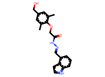 Cc1cc(CO)cc(C)c1OCC(=O)NN=Cc1cccc2[nH]ccc12